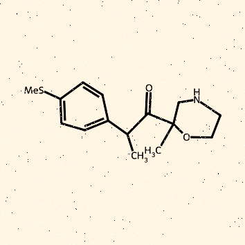 CSc1ccc(C(C)C(=O)C2(C)CNCCO2)cc1